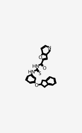 O=C(NC(=S)Nc1cccc(OC2Cc3ccccc3C2)c1)c1cc2cnccc2o1